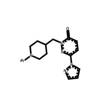 CC(C)N1CCC(Cn2nc(-n3cccn3)ccc2=O)CC1